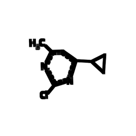 Cc1cc(C2CC2)nc(Cl)n1